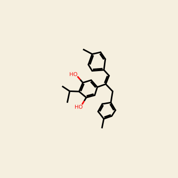 Cc1ccc(C=C(Cc2ccc(C)cc2)c2cc(O)c(C(C)C)c(O)c2)cc1